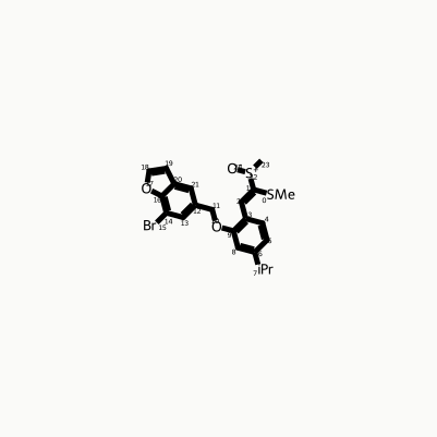 CS/C(=C\c1ccc(C(C)C)cc1OCc1cc(Br)c2occc2c1)[S+](C)[O-]